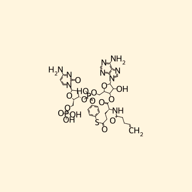 C=CCCC(=O)N[C@@H](CCC(=O)Sc1ccccc1)C(=O)OC1C(COP(=O)(O)O[C@H]2C[C@H](n3ccc(N)nc3=O)O[C@@H]2COP(=O)(O)O)OC(n2cnc3c(N)ncnc32)C1O